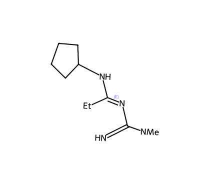 CC/C(=N\C(=N)NC)NC1CCCC1